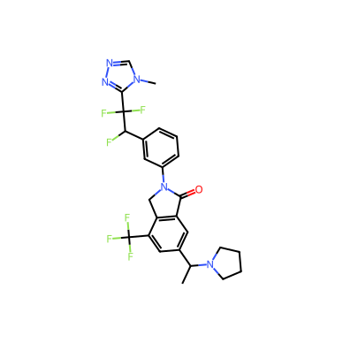 CC(c1cc2c(c(C(F)(F)F)c1)CN(c1cccc(C(F)C(F)(F)c3nncn3C)c1)C2=O)N1CCCC1